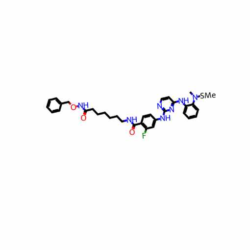 CSN(C)c1ccccc1Nc1ccnc(Nc2ccc(C(=O)NCCCCCCC(=O)NOCc3ccccc3)c(F)c2)n1